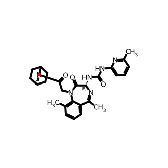 CC1=N[C@@H](NC(=O)Nc2cccc(C)n2)C(=O)N(CC(=O)N2CC3CCC(CC3)C2)c2c(C)cccc21